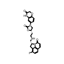 O=C1COc2ccc(N3C[C@H](CCNC[C@H]4Cc5c(F)ccc6ccc(=O)n4c56)OC3=O)cc2N1